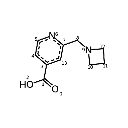 O=C(O)c1ccnc(CN2CCC2)c1